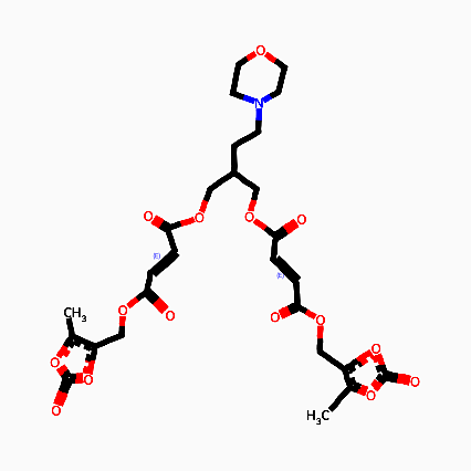 Cc1oc(=O)oc1COC(=O)/C=C/C(=O)OCC(CCN1CCOCC1)COC(=O)/C=C/C(=O)OCc1oc(=O)oc1C